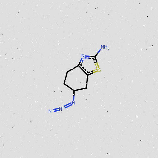 [N-]=[N+]=NC1CCc2nc(N)sc2C1